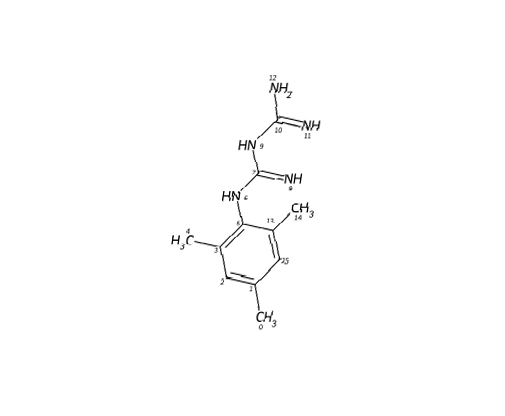 Cc1cc(C)c(NC(=N)NC(=N)N)c(C)c1